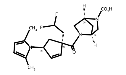 Cc1ccc(C)n1[C@@H]1C=C[C@](CC(F)F)(C(=O)N2C[C@@H]3C[C@H]2CN3C(=O)O)C1